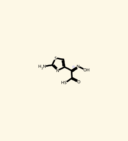 Nc1nc(/C(=N/O)C(=O)S)cs1